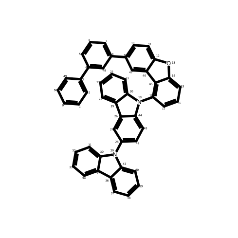 c1ccc(-c2cccc(-c3ccc4oc5cccc(-n6c7ccccc7c7cc(-n8c9ccccc9c9ccccc98)ccc76)c5c4c3)c2)cc1